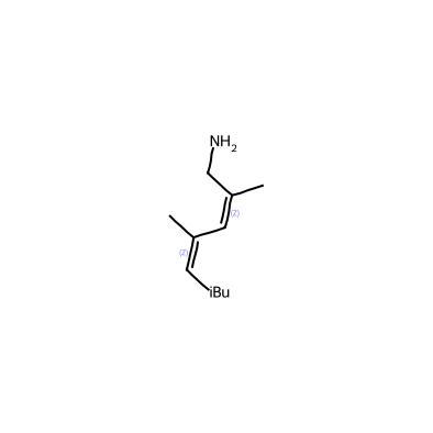 CCC(C)/C=C(C)\C=C(\C)CN